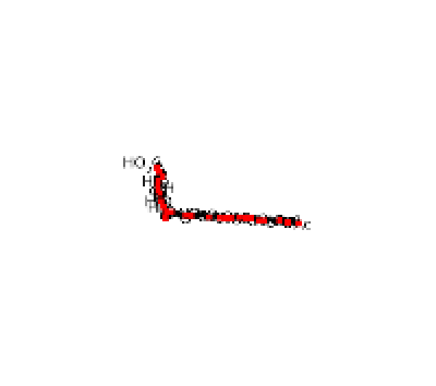 CC(=O)SCCOCCOCCOCCOCCOCCOCCOCCOCCOCCOCCOCCOCCC(=O)NCCCOc1ccccc1CNC(=O)Nc1nc(C(=O)NCC(=O)Nc2cccc(CCC(=O)O)c2)cs1